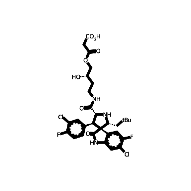 CC(C)(C)C[C@H]1N[C@@H](C(=O)NCC[C@H](O)COC(=O)CC(=O)O)[C@H](c2ccc(F)c(Cl)c2)[C@@]12C(=O)Nc1cc(Cl)c(F)cc12